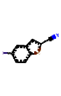 N#Cc1cc2cc(I)ccc2s1